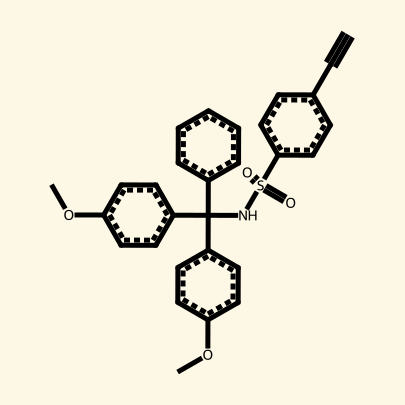 C#Cc1ccc(S(=O)(=O)NC(c2ccccc2)(c2ccc(OC)cc2)c2ccc(OC)cc2)cc1